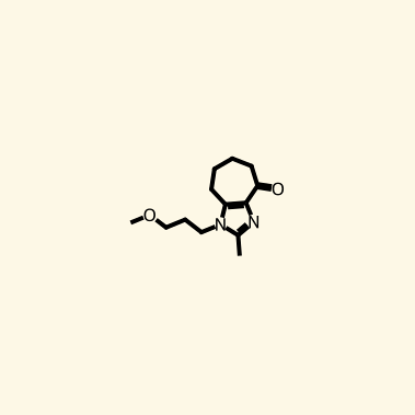 COCCCn1c(C)nc2c1CCCCC2=O